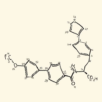 O=C(N[C@@H](Cc1ccc(-c2ccsc2)cc1)C(=O)O)c1ccc(-c2ccc(OC(F)(F)F)cc2)cc1